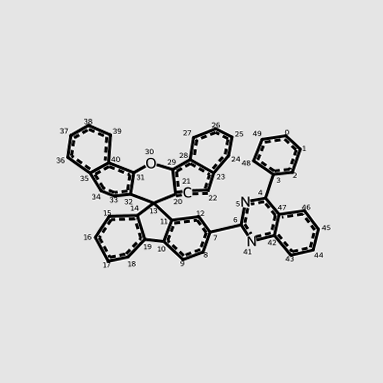 c1ccc(-c2nc(-c3ccc4c(c3)C3(c5ccccc5-4)c4ccc5ccccc5c4Oc4c3ccc3ccccc43)nc3ccccc23)cc1